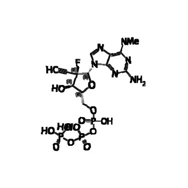 C#C[C@@]1(F)[C@H](O)[C@@H](COP(=O)(O)OP(=O)(O)OP(=O)(O)O)O[C@H]1n1cnc2c(NC)nc(N)nc21